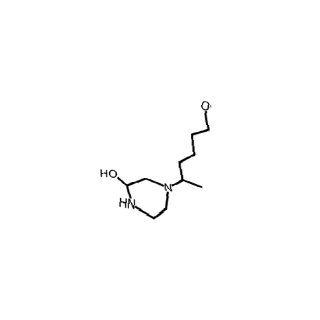 CC(CCCC[O])N1CCNC(O)C1